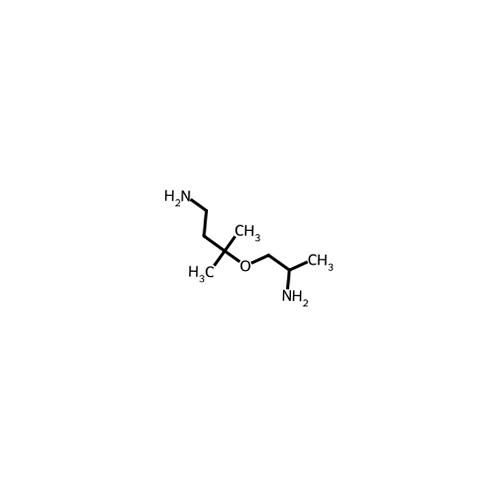 CC(N)COC(C)(C)CCN